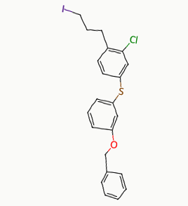 Clc1cc(Sc2cccc(OCc3ccccc3)c2)ccc1CCCI